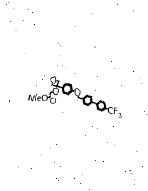 COC(=O)COC1(c2ccc(OCc3ccc(-c4ccc(C(F)(F)F)cc4)cc3)cc2)COC1